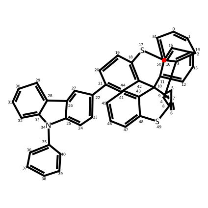 c1ccc(-c2cccc3c2C2(c4ccccc4Sc4ccc(-c5ccc6c(c5)c5ccccc5n6-c5ccccc5)cc42)c2ccccc2S3)cc1